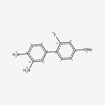 COc1ccc(-c2ccc(N)c(N)c2)c(F)c1